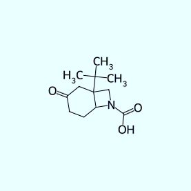 CC(C)(C)C12CC(=O)CCC1N(C(=O)O)C2